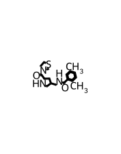 Cc1ccc(C)c(C(=O)NCC2CNC(C(=O)N3CCSC3)C2)c1